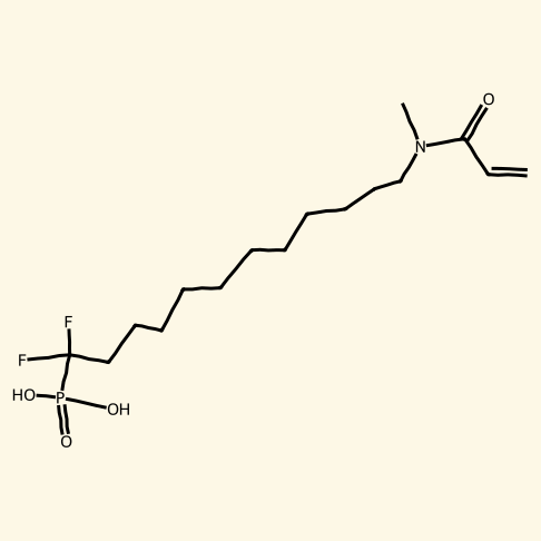 C=CC(=O)N(C)CCCCCCCCCCCC(F)(F)P(=O)(O)O